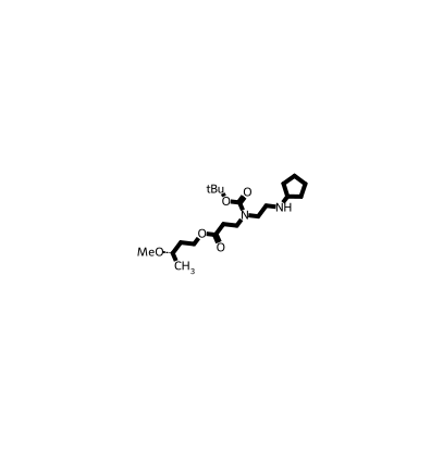 CO[C@@H](C)CCOC(=O)CCN(CCNC1CCCC1)C(=O)OC(C)(C)C